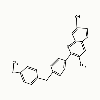 Cc1cc2ccc(O)cc2nc1-c1ccc(Cc2ccc(OC(F)(F)F)cc2)cc1